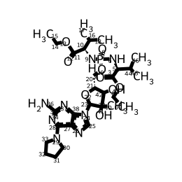 CCOC(=O)[C@@H](NP(=O)(N[C@H](C(=O)OCC)C(C)C)OC[C@H]1OC(n2cnc3c(N4CCCC4)nc(N)nc32)C(C)(O)C1O)C(C)C